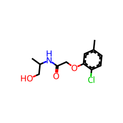 Cc1ccc(Cl)c(OCC(=O)NC(C)CO)c1